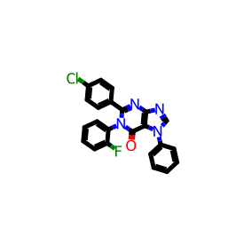 O=c1c2c(ncn2-c2ccccc2)nc(-c2ccc(Cl)cc2)n1-c1ccccc1F